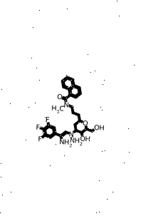 CN(CCCC1CC(N(N)/C=C(\N)c2cc(F)c(F)c(F)c2)C(O)C(CO)O1)C(=O)c1cccc2ccccc12